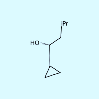 CC(C)C[C@@H](O)C1CC1